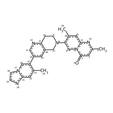 Cc1cc(=O)n2nc(N3CCc4ncc(-c5cn6ccnc6cc5C)cc4C3)c(C)cc2n1